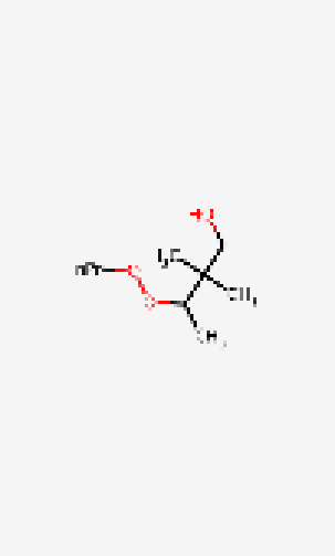 CCCOOC(C)C(C)(C)CO